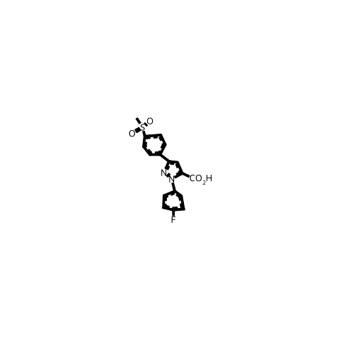 CS(=O)(=O)c1ccc(-c2cc(C(=O)O)n(-c3ccc(F)cc3)n2)cc1